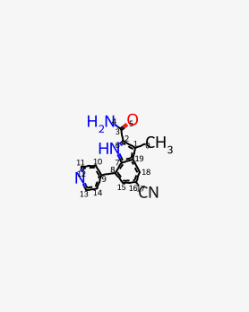 Cc1c(C(N)=O)[nH]c2c(-c3ccncc3)cc(C#N)cc12